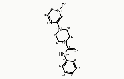 FN1C=C(N2CCN(C(=S)Nc3ccccc3)CC2)N=CC1